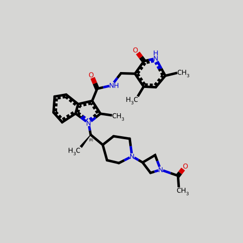 CC(=O)N1CC(N2CCC([C@@H](C)n3c(C)c(C(=O)NCc4c(C)cc(C)[nH]c4=O)c4ccccc43)CC2)C1